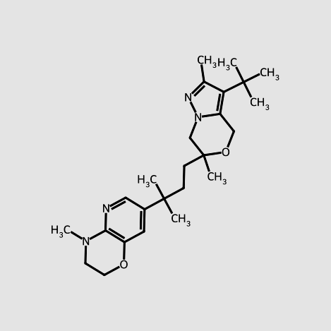 Cc1nn2c(c1C(C)(C)C)COC(C)(CCC(C)(C)c1cnc3c(c1)OCCN3C)C2